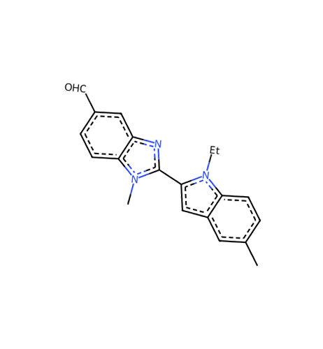 CCn1c(-c2nc3cc(C=O)ccc3n2C)cc2cc(C)ccc21